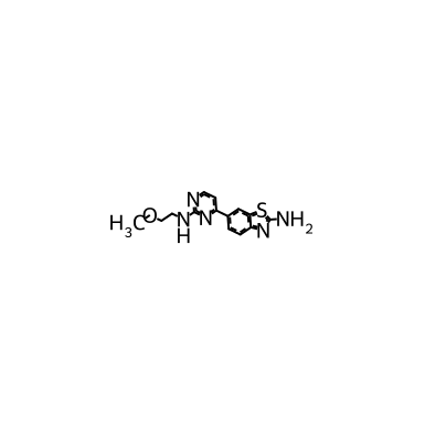 COCCNc1nccc(-c2ccc3nc(N)sc3c2)n1